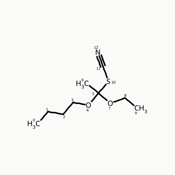 CCCCOC(C)(OCC)SC#N